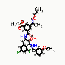 C=CCON=C(C)c1cc(C(=O)N[C@@H](Cc2cc(F)cc(F)c2)[C@H](O)CNCc2cccc(OC)c2)cc(S(C)(=O)=O)c1